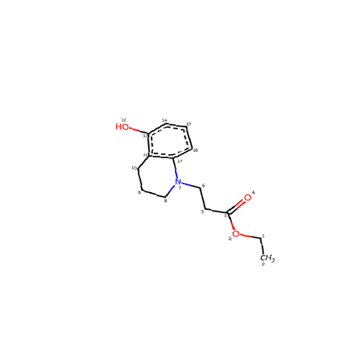 CCOC(=O)CCN1CCCc2c(O)cccc21